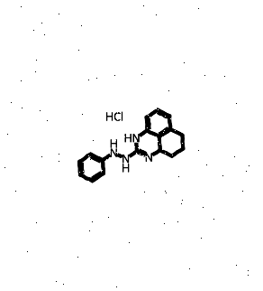 Cl.c1ccc(NNC2=NC3CCCc4cccc(c43)N2)cc1